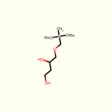 CO[Si](C)(COCC(O)CCO)OC